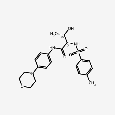 Cc1ccc(S(=O)(=O)N[C@H](C(=O)Nc2ccc(N3CCOCC3)cc2)[C@H](C)O)cc1